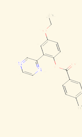 CCCCCCCCCc1ccc(C(=O)Oc2ccc(OCC(C)CC)cc2-c2cnccn2)cc1